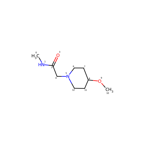 CNC(=O)CN1CCC(OC)CC1